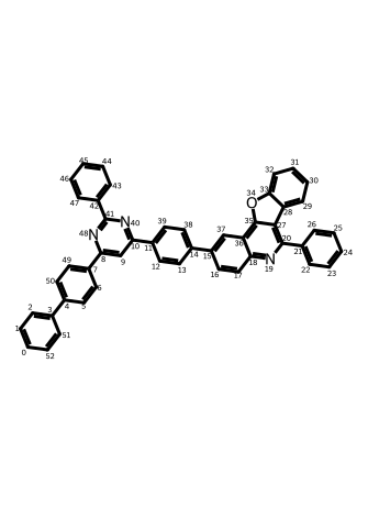 c1ccc(-c2ccc(-c3cc(-c4ccc(-c5ccc6nc(-c7ccccc7)c7c8ccccc8oc7c6c5)cc4)nc(-c4ccccc4)n3)cc2)cc1